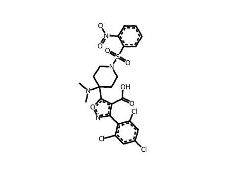 CN(C)C1(c2onc(-c3c(Cl)cc(Cl)cc3Cl)c2C(=O)O)CCN(S(=O)(=O)c2ccccc2[N+](=O)[O-])CC1